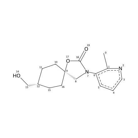 Cc1ncccc1N1C[C@]2(CC[C@@H](CO)CC2)OC1=O